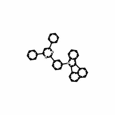 c1ccc(-c2cc(-c3ccccc3)nc(-c3cccc(-n4c5c(c6ccccc64)-c4cccc6cccc-5c46)c3)n2)cc1